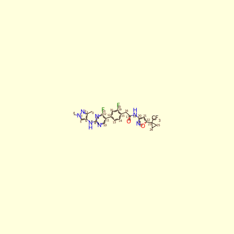 Cc1nn(C)cc1Nc1ncc(-c2ccc(CC(=O)Nc3cc(C4(C(F)(F)F)CC4)on3)c(F)c2)c(F)n1